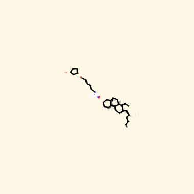 CC(C)CCC[C@H](C)[C@@H]1CC[C@@H]2C3CC=C4C[C@@H](OC(=O)NCCCCCCO[C@H]5C[C@H](CO)[C@@H](O)C5)CC[C@]4(C)[C@@H]3CC[C@@]21C